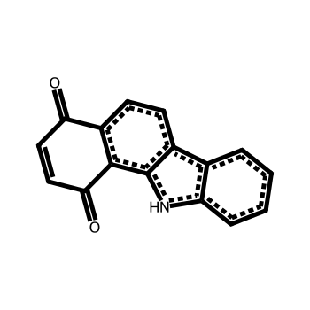 O=C1C=CC(=O)c2c1ccc1c2[nH]c2ccccc21